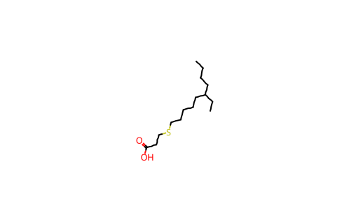 CCCCC(CC)CCCCCSCCC(=O)O